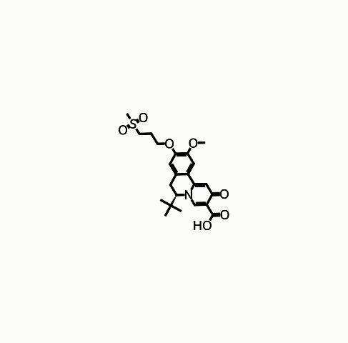 COc1cc2c(cc1OCCCS(C)(=O)=O)C[C@H](C(C)(C)C)n1cc(C(=O)O)c(=O)cc1-2